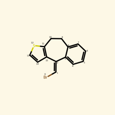 BrC=C1c2ccccc2CCc2sccc21